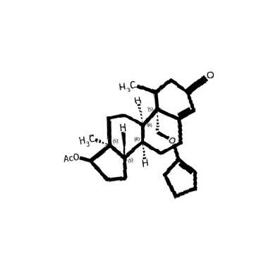 CC(=O)OC1CC[C@H]2[C@@H]3CCC4=CC(=O)CC(C)[C@]4(COC4=CCCC4)[C@@H]3CC[C@]12C